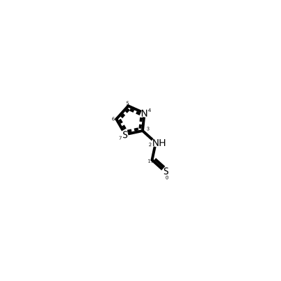 S=[C]Nc1nccs1